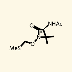 CSCON1C(=O)[C@@H](NC(C)=O)C1(C)C